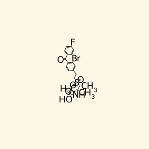 CC(C(C)(C)NC(=O)O)S(=O)(=O)CCc1ccc(C(=O)c2ccc(F)cc2)c(Br)c1